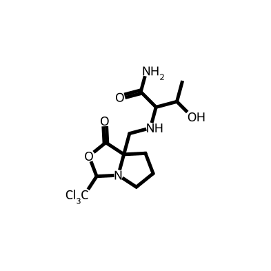 CC(O)C(NCC12CCCN1C(C(Cl)(Cl)Cl)OC2=O)C(N)=O